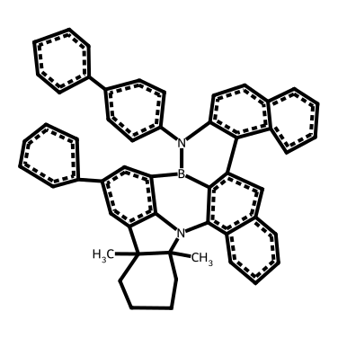 CC12CCCCC1(C)N1c3c(cc(-c4ccccc4)cc32)B2c3c(cc4ccccc4c31)-c1c(ccc3ccccc13)N2c1ccc(-c2ccccc2)cc1